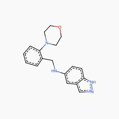 c1ccc(N2CCOCC2)c(CNc2ccc3[nH]ncc3c2)c1